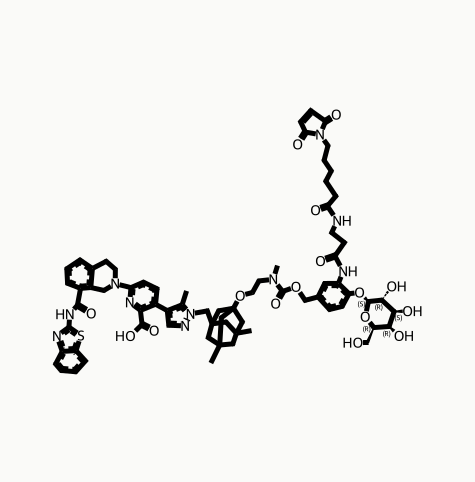 Cc1c(-c2ccc(N3CCc4cccc(C(=O)Nc5nc6ccccc6s5)c4C3)nc2C(=O)O)cnn1CC12CC3(C)CC(C)(C1)CC(OCCN(C)C(=O)OCc1ccc(O[C@@H]4O[C@H](CO)[C@H](O)[C@H](O)[C@H]4O)c(NC(=O)CCNC(=O)CCCCCN4C(=O)C=CC4=O)c1)(C3)C2